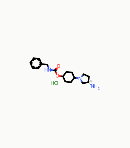 Cl.N[C@H]1CCN(C2CCC(OC(=O)NCc3ccccc3)CC2)C1